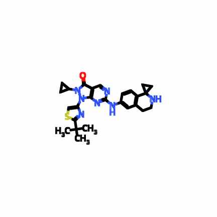 CC(C)(C)c1nc(-n2c3nc(Nc4ccc5c(c4)CCNC54CC4)ncc3c(=O)n2C2CC2)cs1